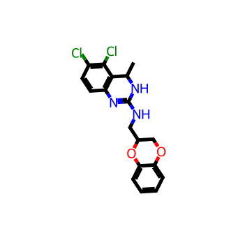 CC1NC(NCC2COc3ccccc3O2)=Nc2ccc(Cl)c(Cl)c21